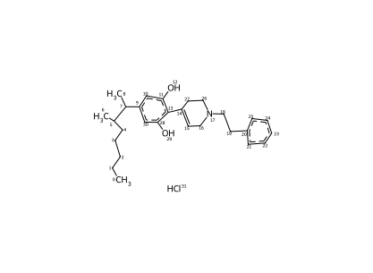 CCCCCC(C)C(C)c1cc(O)c(C2=CCN(CCc3ccccc3)CC2)c(O)c1.Cl